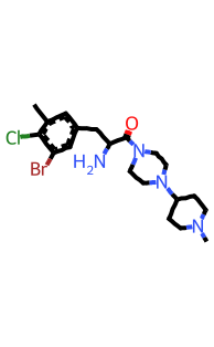 Cc1cc(CC(N)C(=O)N2CCN(C3CCN(C)CC3)CC2)cc(Br)c1Cl